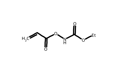 C=CC(=O)ONC(=O)OCC